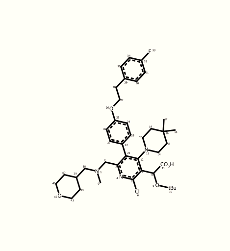 CN(Cc1nc(Cl)c(C(OC(C)(C)C)C(=O)O)c(N2CCC(C)(C)CC2)c1-c1ccc(OCCc2ccc(F)cc2)cc1)CC1CCOCC1